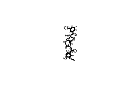 COc1ccc(C(=O)N2C=C3C=NC(NC(=O)c4cccc(Cl)c4)N=C3CC2)cc1OC